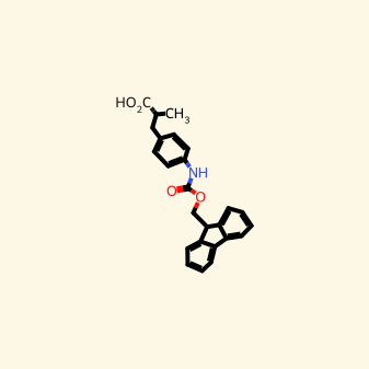 CC(Cc1ccc(NC(=O)OCC2c3ccccc3-c3ccccc32)cc1)C(=O)O